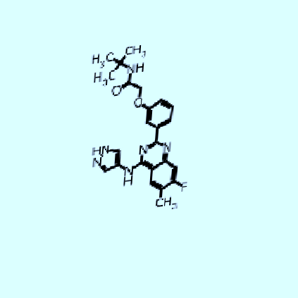 Cc1cc2c(Nc3cn[nH]c3)nc(-c3cccc(OCC(=O)NC(C)(C)C)c3)nc2cc1F